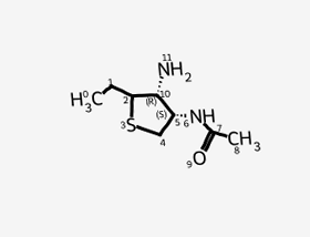 CCC1SC[C@@H](NC(C)=O)[C@H]1N